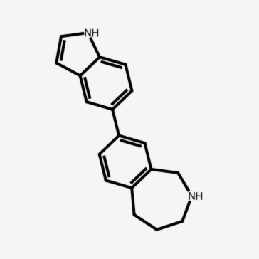 c1cc2cc(-c3ccc4c(c3)CNCCC4)ccc2[nH]1